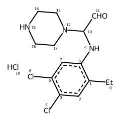 CCc1cc(Cl)c(Cl)cc1NC(C=O)N1CCNCC1.Cl